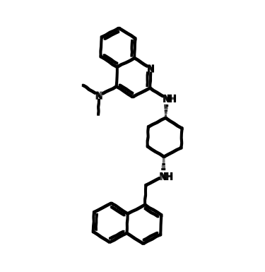 CN(C)c1cc(N[C@H]2CC[C@@H](NCc3cccc4ccccc34)CC2)nc2ccccc12